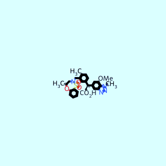 COc1cc([C@@H](CC(=O)O)c2ccc(C)c(CN3C[C@@H](C)Oc4ccccc4S3(=O)=O)c2)cc2nnn(C)c12